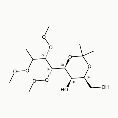 COOC(C)[C@H](OOC)[C@@H](OOC)[C@H]1OC(C)(C)O[C@@H](CO)[C@H]1O